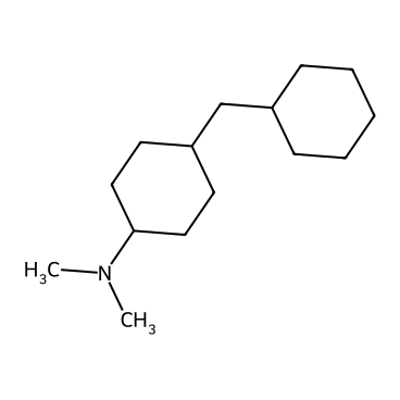 CN(C)C1CCC(CC2CCCCC2)CC1